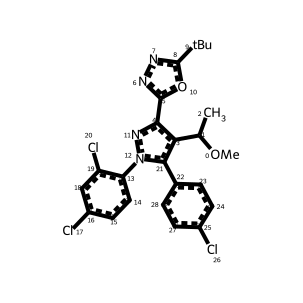 COC(C)c1c(-c2nnc(C(C)(C)C)o2)nn(-c2ccc(Cl)cc2Cl)c1-c1ccc(Cl)cc1